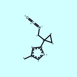 Cc1csc(C2(CN=C=O)CC2)c1